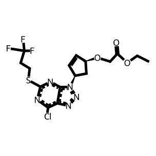 CCOC(=O)CO[C@@H]1C=C[C@H](n2nnc3c(Cl)nc(SCCC(F)(F)F)nc32)C1